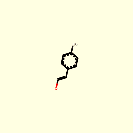 CC(C)(C)c1ccc(C=C[O])cc1